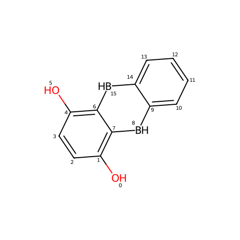 Oc1ccc(O)c2c1Bc1ccccc1B2